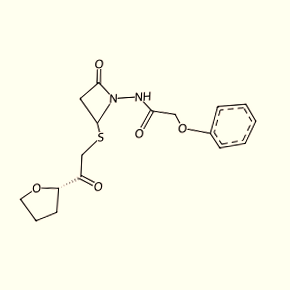 O=C(COc1ccccc1)NN1C(=O)CC1SCC(=O)[C@@H]1CCCO1